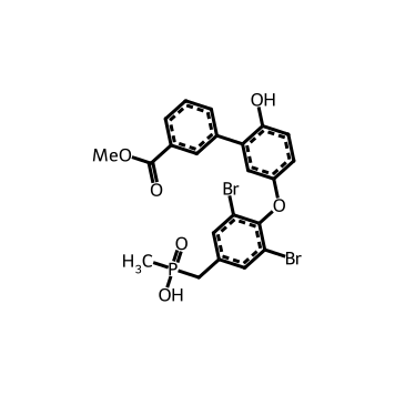 COC(=O)c1cccc(-c2cc(Oc3c(Br)cc(CP(C)(=O)O)cc3Br)ccc2O)c1